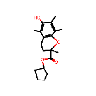 Cc1c(C)c2c(c(C)c1O)CCC(C)(C(=O)OC1CCCC1)O2